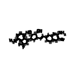 Nc1nc2cc(/C=C/[C@H]3C[C@@H](N4CC(F)(F)c5c(N)ncnc54)[C@H](O)[C@@H]3O)ccc2cc1Br